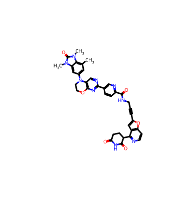 Cc1cc(N2CCOc3nc(-c4ccc(C(=O)NCC#Cc5cc6c(C7CCC(=O)NC7=O)nccc6o5)nc4)ncc32)cc2c1n(C)c(=O)n2C